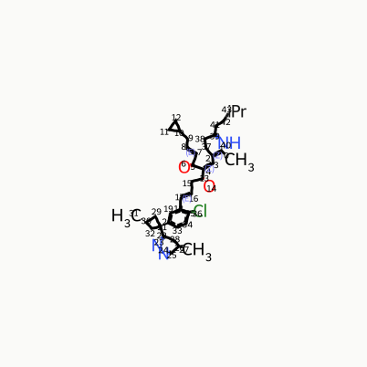 C/C=C(\C=C(/C(=O)/C=C/CC1CC1)C(=O)C/C=C/c1cc([C@]2(C3=NN=CC(C)C3)C[C@@H](C)C2)ccc1Cl)CCC(=N)CCC(C)C